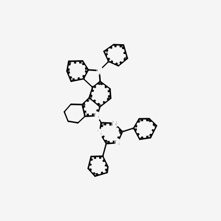 c1ccc(B2c3ccccc3-c3c2ccc2c3c3c(n2-c2nc(-c4ccccc4)nc(-c4ccccc4)n2)CCCC3)cc1